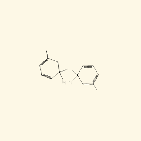 NC1(OC2(N)C=CC=C(Cl)C2)C=CC=C(Cl)C1